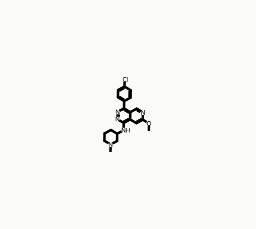 COc1cc2c(NC3CCCN(C)C3)nnc(-c3ccc(Cl)cc3)c2cn1